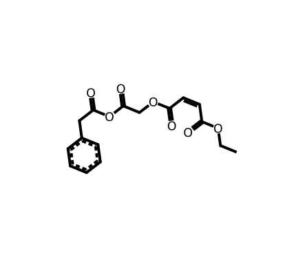 CCOC(=O)/C=C\C(=O)OCC(=O)OC(=O)Cc1ccccc1